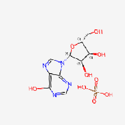 O=S(=O)(O)O.OC[C@H]1O[C@@H](n2cnc3c(O)ncnc32)[C@H](O)[C@@H]1O